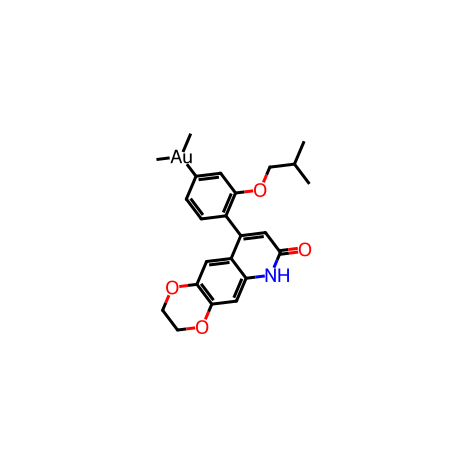 CC(C)COc1c[c]([Au]([CH3])[CH3])ccc1-c1cc(=O)[nH]c2cc3c(cc12)OCCO3